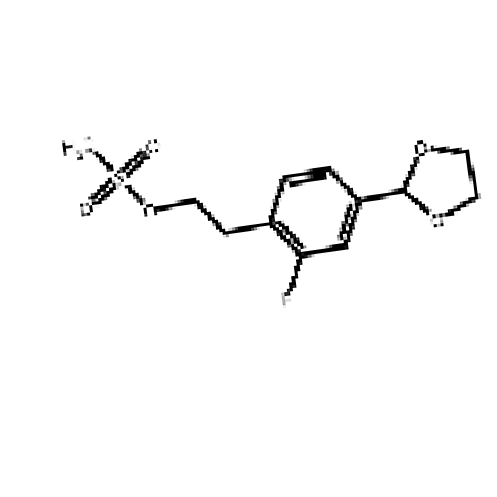 CS(=O)(=O)OCCc1ccc(C2OCCO2)cc1F